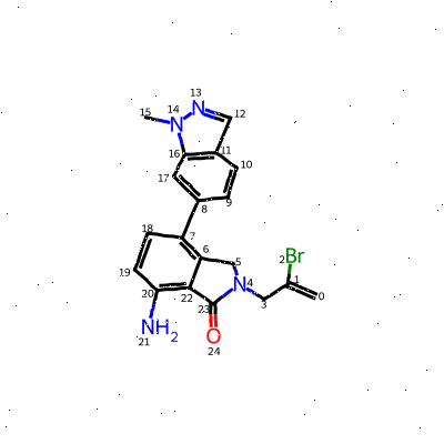 C=C(Br)CN1Cc2c(-c3ccc4cnn(C)c4c3)ccc(N)c2C1=O